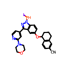 N#Cc1ccc2c(c1)CCCC2Oc1ccc2c(c1)c(-c1ccnc(N3CCOCC3)c1)nn2PI